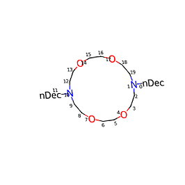 CCCCCCCCCCN1CCOCCOCCN(CCCCCCCCCC)CCOCCOCC1